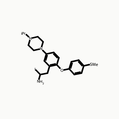 CSc1ccc(Oc2ccc(N3CCN(C(C)C)CC3)cc2CC(N)I)cc1